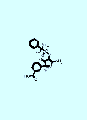 [2H]C([2H])(c1ccccc1)S(=O)(=O)OC1=C(N)O[C@@]([2H])(c2cccc(C(=O)O)c2)C1=O